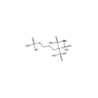 O=P(O)(O)OCCCC(P(=O)(O)O)(P(=O)(O)O)P(=O)(O)O